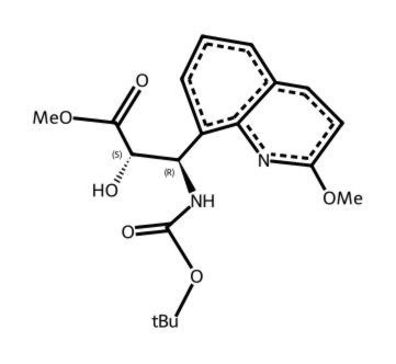 COC(=O)[C@@H](O)[C@H](NC(=O)OC(C)(C)C)c1cccc2ccc(OC)nc12